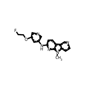 Cn1c2ccncc2c2ccc(Nc3cncc(OCCF)c3)nc21